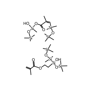 C=C(C)C(=O)OCC[Si](O)(O[Si](C)(C)C)[Si](C)(C)O[Si](C)(C)C.CC(=C[Si](C)(C)O[Si](C)(C)C)C(=O)O[Si](C)(O)O[Si](C)(C)C